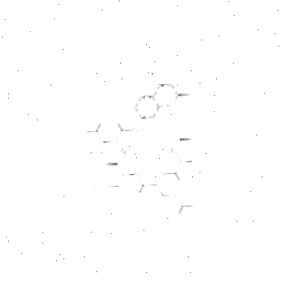 CC(=O)N[C@@H](C)C(=O)N[C@@H](CCC(=O)O)C(=O)N[C@H](C(=O)N[C@@H](CC(=O)O)C(=O)Nc1ccc2c(C(F)(F)F)cc(=O)oc2c1)C(C)C